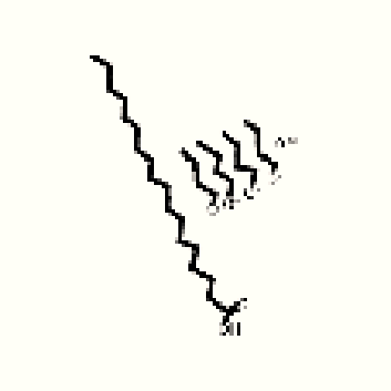 CCCCCCCCCCCCCCCCCC(=O)O.CCCC[O-].CCCC[O-].CCCC[O-].CCCC[O-].[Zr+4]